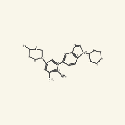 Nc1cc(N2CCC(O)CC2)cc(-c2ccc3c(c2)ncn3C2CCCCC2)c1N